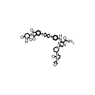 NC(=O)c1ncc(N2CCCC(N3CCN(C4COC4)C3=O)C2)nc1Nc1ccc(N2CC3(C2)CN(c2ccc4c(c2)C(=O)N(C2CCC(=O)NC2=O)C4=O)C3)cc1